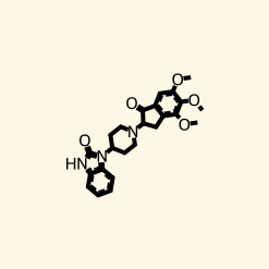 COc1cc2c(c(OC)c1OC)CC(N1CCC(n3c(=O)[nH]c4ccccc43)CC1)C2=O